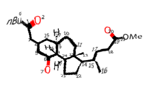 CCCCC(=O)CC1CC(=O)[C@@H]2[C@H](CC[C@]3(C)[C@@H]([C@H](C)CCC(=O)OC)CC[C@@H]23)C1